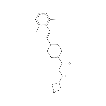 Cc1cccc(C)c1C=CC1CCN(C(=O)CNC2COC2)CC1